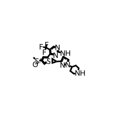 C[S+]([O-])c1csc(-c2nc(Nc3cn(C4CCNCC4)nc3C3CC3)ncc2C(F)(F)F)c1